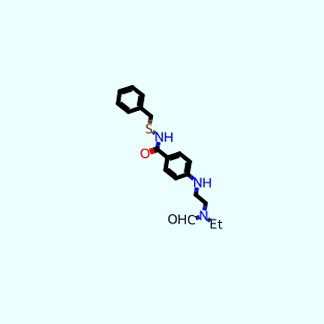 CCN(C=O)CCNc1ccc(C(=O)NSCc2ccccc2)cc1